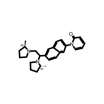 C[C@@H]1CCCN1CC(c1ccc2cc(-n3ccccc3=O)ccc2c1)N1CCC[C@H]1C